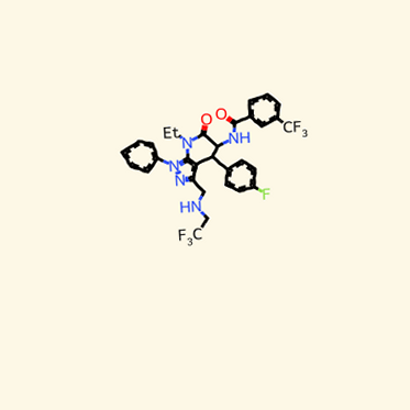 CCN1C(=O)C(NC(=O)c2cccc(C(F)(F)F)c2)C(c2ccc(F)cc2)c2c(CNCC(F)(F)F)nn(-c3ccccc3)c21